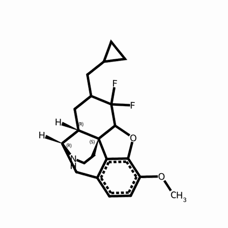 COc1ccc2c3c1OC1C(F)(F)C(CC4CC4)C[C@H]4[C@@H](C2)NCC[C@]314